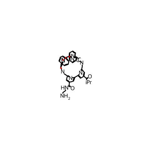 CC(C)C(=O)c1cc2nc(c1)-c1cc(C(=O)NCCN)cc(n1)CN1Cc3cccc(n3)-c3cccc(n3)CN(Cc3cccc(n3)-c3cccc(n3)C1)C2